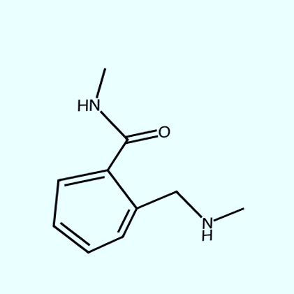 CNCc1ccccc1C(=O)NC